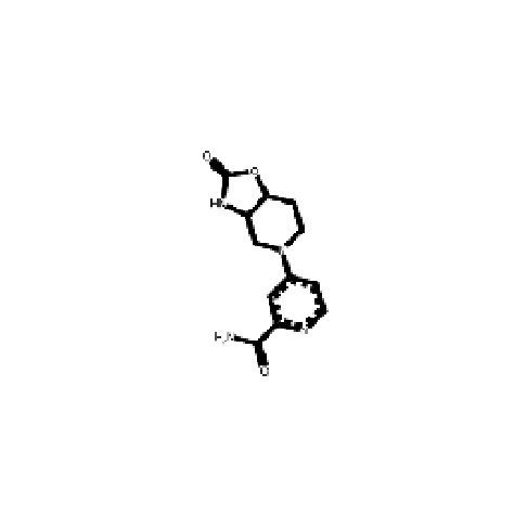 NC(=O)c1[c]c(N2CCC3OC(=O)NC3C2)ccn1